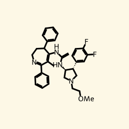 C=C(NC1=C(C)C(c2ccccc2)=NCCC1c1ccccc1)N[C@@H]1CN(CCOC)C[C@H]1c1ccc(F)c(F)c1